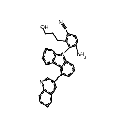 N#Cc1ccc(N)c(-n2c3ccccc3c3c(-c4cnc5ccccc5c4)cccc32)c1CCCO